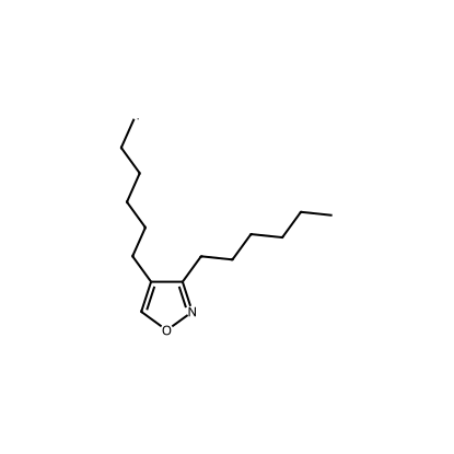 [CH2]CCCCCc1conc1CCCCCC